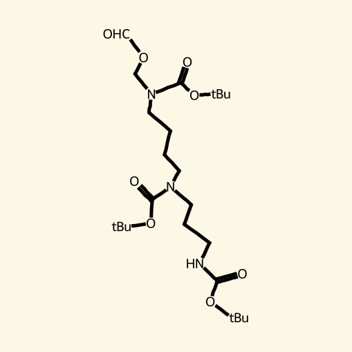 CC(C)(C)OC(=O)NCCCN(CCCCN(COC=O)C(=O)OC(C)(C)C)C(=O)OC(C)(C)C